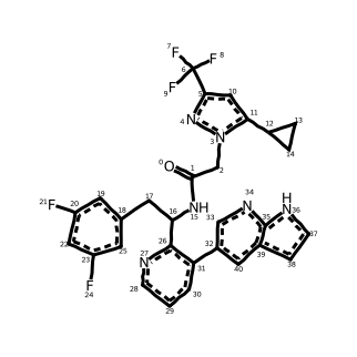 O=C(Cn1nc(C(F)(F)F)cc1C1CC1)NC(Cc1cc(F)cc(F)c1)c1ncccc1-c1cnc2[nH]ccc2c1